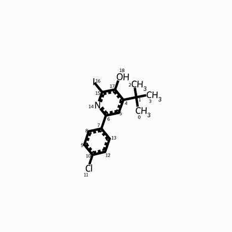 CC(C)(C)c1cc(-c2ccc(Cl)cc2)nc(I)c1O